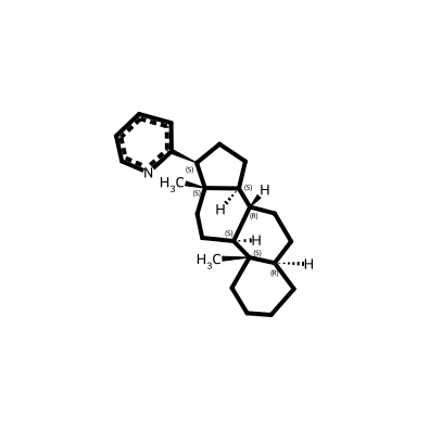 C[C@]12CCCC[C@@H]1CC[C@@H]1[C@@H]2CC[C@]2(C)[C@@H](c3ccccn3)CC[C@@H]12